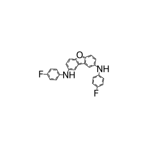 Fc1ccc(Nc2ccc3oc4ccc(Nc5ccc(F)cc5)cc4c3c2)cc1